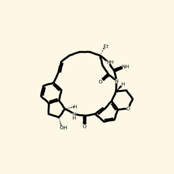 CC[C@]12CCC/C=C/c3ccc4c(c3)[C@@H](NC(=O)c3ccc5c(c3)[C@@H](CCO5)N(C(=N)N1)C(=O)C2)[C@H](O)C4